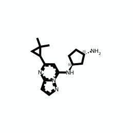 CC1(C)CC1c1cc(N[C@H]2CC[C@H](N)C2)n2nccc2n1